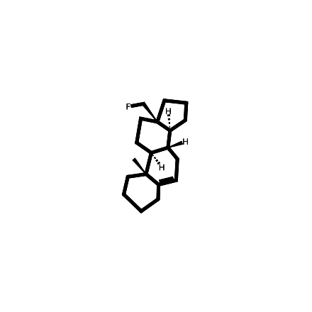 C[C@]12CCCCC1=CC[C@H]1[C@@H]3CCC[C@@]3(CF)CC[C@@H]12